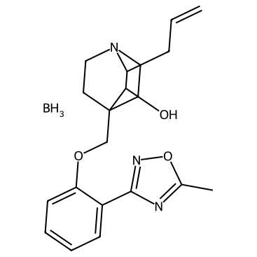 B.C=CCC1C(O)C2(COc3ccccc3-c3noc(C)n3)CCN1CC2